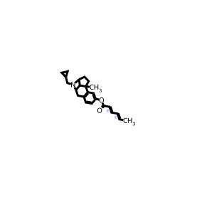 C/C=C/C=C/C(=O)Oc1ccc2c(c1)C1(C)CCC3C1C(C2)N3CC1CC1